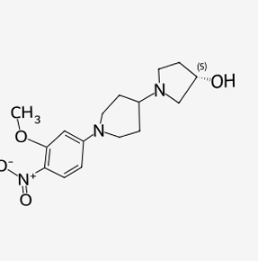 COc1cc(N2CCC(N3CC[C@H](O)C3)CC2)ccc1[N+](=O)[O-]